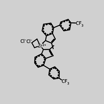 CC1=Cc2c(-c3ccc(C(F)(F)F)cc3)cccc2[CH]1[Zr+2]1([CH]2C(C)=Cc3c(-c4ccc(C(F)(F)F)cc4)cccc32)[CH2]C[CH2]1.[Cl-].[Cl-]